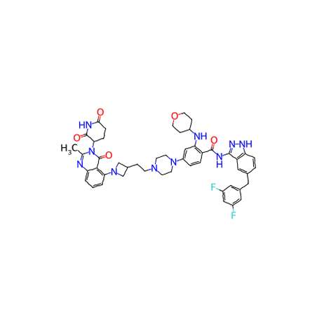 Cc1nc2cccc(N3CC(CCN4CCN(c5ccc(C(=O)Nc6n[nH]c7ccc(Cc8cc(F)cc(F)c8)cc67)c(NC6CCOCC6)c5)CC4)C3)c2c(=O)n1C1CCC(=O)NC1=O